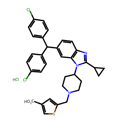 Cl.O=C(O)c1csc(CN2CCC(n3c(C4CC4)nc4ccc(C(c5ccc(Cl)cc5)c5ccc(Cl)cc5)cc43)CC2)c1